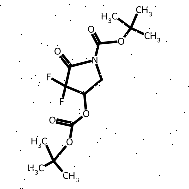 CC(C)(C)OC(=O)OC1CN(C(=O)OC(C)(C)C)C(=O)C1(F)F